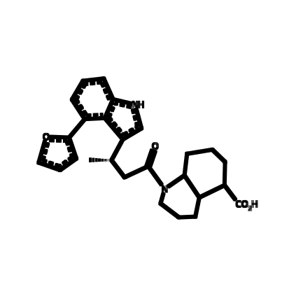 C[C@@H](CC(=O)N1CCCC2C(C(=O)O)CCCC21)c1c[nH]c2cccc(-c3ccco3)c12